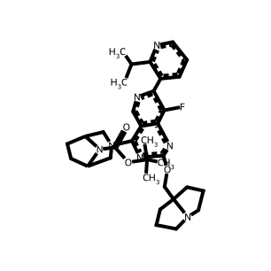 CC(C)c1ncccc1-c1ncc2c(N3CC4CCC(C3)N4C(=O)OC(C)(C)C)nc(OCC34CCCN3CCC4)nc2c1F